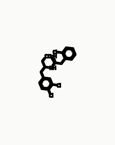 O=C(O)CC(Cc1ccc(Cl)c(Cl)c1)NC(=O)Cc1ccccc1Cl